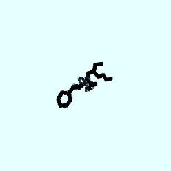 CCCCC(CC)C[SiH](OC)OC=CC1CCCCC1